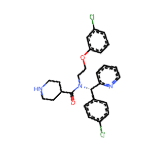 O=C(C1CCNCC1)N(CCOc1cccc(Cl)c1)[C@@H](c1ccc(Cl)cc1)c1ccccn1